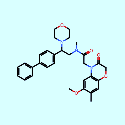 COc1cc2c(cc1C)OCC(=O)N2CC(=O)N(C)CC(c1ccc(-c2ccccc2)cc1)N1CCOCC1